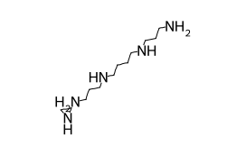 C1CN1.NCCCNCCCCNCCCN